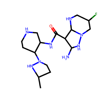 CC1CCN(C2CCNCC2NC(=O)C2C(N)NN3CC(F)CNC23)N1